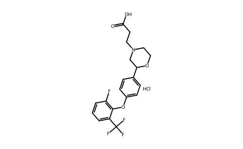 Cl.O=C(O)CCN1CCOC(c2ccc(Oc3c(F)cccc3C(F)(F)F)cc2)C1